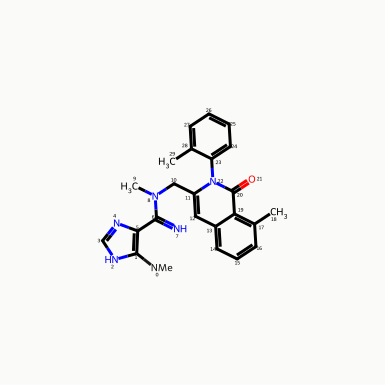 CNc1[nH]cnc1C(=N)N(C)Cc1cc2cccc(C)c2c(=O)n1-c1ccccc1C